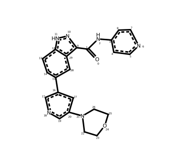 O=C(Nc1ccncc1)c1n[nH]c2ccc(-c3cncc(N4CCOCC4)c3)cc12